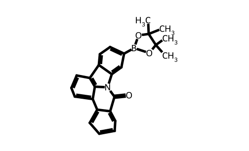 CC1(C)OB(c2ccc3c4cccc5c6ccccc6c(=O)n(c3c2)c54)OC1(C)C